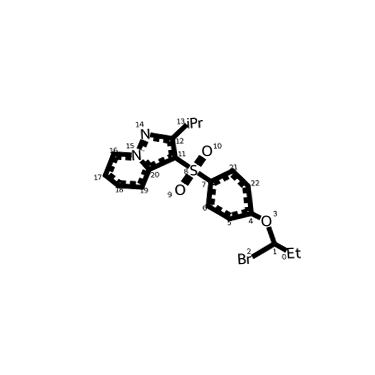 CCC(Br)Oc1ccc(S(=O)(=O)c2c(C(C)C)nn3ccccc23)cc1